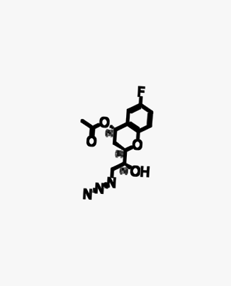 CC(=O)O[C@H]1C[C@H]([C@@H](O)CN=[N+]=[N-])Oc2ccc(F)cc21